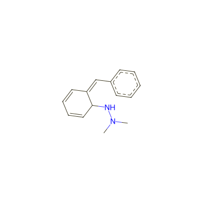 CN(C)NC1C=CC=CC1=Cc1ccccc1